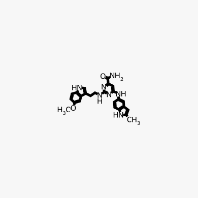 COc1ccc2[nH]cc(CCNc3nc(Nc4ccc5[nH]c(C)cc5c4)cc(C(N)=O)n3)c2c1